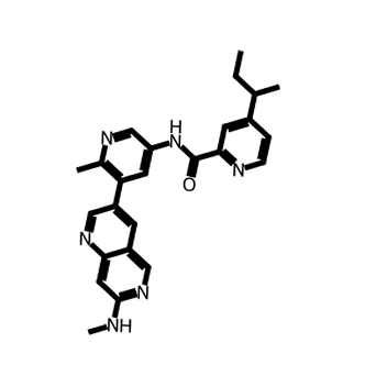 CCC(C)c1ccnc(C(=O)Nc2cnc(C)c(-c3cnc4cc(NC)ncc4c3)c2)c1